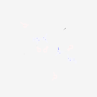 COc1cccc(C2C[C@@H](c3ccccc3)C[C@@H](N(C(N)=O)c3cccc(OC)c3)C(=O)N2NC(=O)CC(C)(C)C)c1